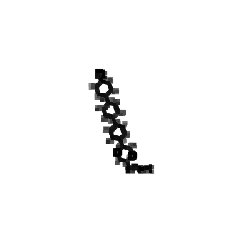 CCCCCC1COC(c2ccc(-c3ccc(C4CCC(CC)CC4)cc3)cc2)CO1